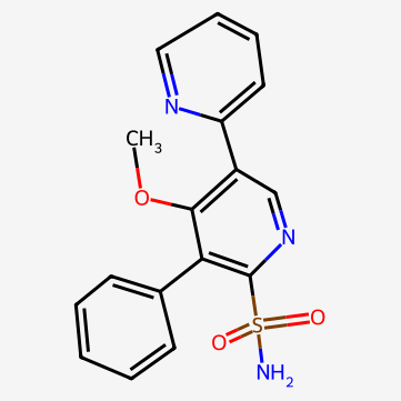 COc1c(-c2ccccn2)cnc(S(N)(=O)=O)c1-c1ccccc1